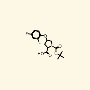 CC(C)(C)OC(=O)N1CC(Oc2ccc(F)cc2F)CC1C(=O)O